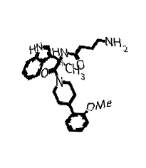 COc1ccccc1C1CCN(C(=O)[C@](C)(NC(=O)CCCN)c2c[nH]c3ccccc23)CC1